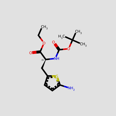 CCOC(=O)[C@H](Cc1ccc(N)s1)NC(=O)OC(C)(C)C